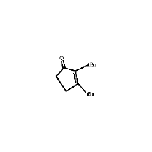 CC(C)(C)C1=C(C(C)(C)C)C(=O)CC1